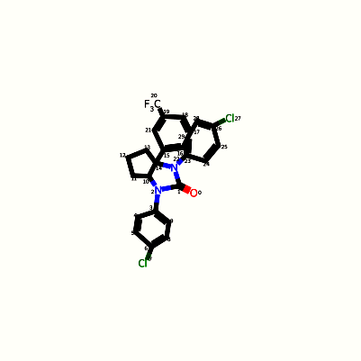 O=C1N(c2ccc(Cl)cc2)C2CCCC2(c2cccc(C(F)(F)F)c2)N1c1ccc(Cl)cc1